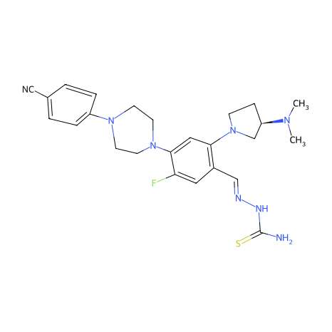 CN(C)[C@@H]1CCN(c2cc(N3CCN(c4ccc(C#N)cc4)CC3)c(F)cc2/C=N/NC(N)=S)C1